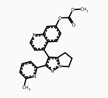 COC(=O)Oc1ccc2c(-c3c(-c4cccc(C)n4)nn4c3CCC4)ccnc2c1